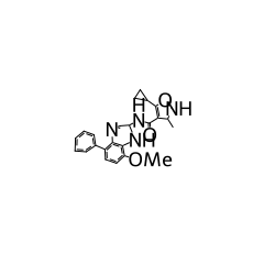 COc1ccc(-c2ccccc2)c2c1NC(NC(=O)C1=C(C3CC3)ONC1C)C=N2